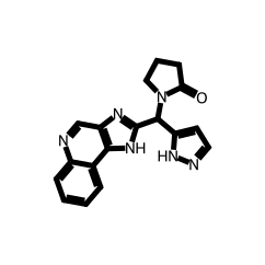 O=C1CCCN1C(c1ccn[nH]1)c1nc2cnc3ccccc3c2[nH]1